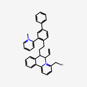 C=CC1C(CCc2ccc(-c3ccccc3)cc2-c2cccc[n+]2C)c2ccccc2-c2cccc(CC(C)C)[n+]21